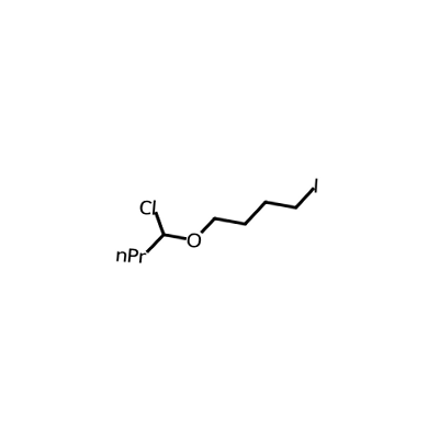 CCCC(Cl)OCCCCI